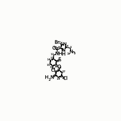 CN(C)Cc1nc(Br)c(C(=O)NCc2ccc(Cl)c(Oc3cc(N)cc(Cl)c3)c2F)[nH]1